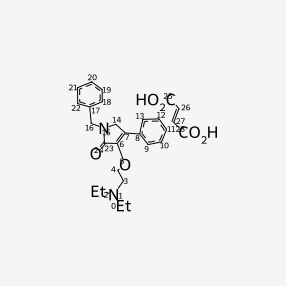 CCN(CC)CCOC1=C(c2ccccc2)CN(Cc2ccccc2)C1=O.O=C(O)/C=C/C(=O)O